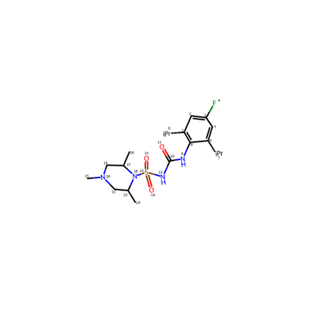 CC(C)c1cc(F)cc(C(C)C)c1NC(=O)NS(=O)(=O)N1C(C)CN(C)CC1C